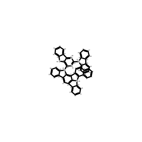 c1ccc2c(c1)ccc1c3c4c(cc5c6ccccc6n(c21)c53)c1ccccc1n4-c1nc(-n2c3ccccc3c3ccccc32)nc2c1sc1ccccc12